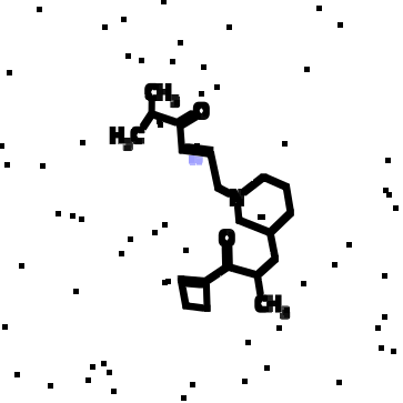 CC(C)C(=O)/C=C/CN1CCCC(CC(C)C(=O)C2=CCC2)C1